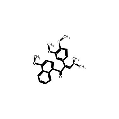 COc1ccc(/C(=C\N(C)C)C(=O)c2ccc(OC)c3ccccc23)cc1OC